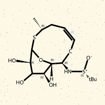 C[C@@H]1C/C=C\C[C@@H](N[S@+]([O-])C(C)(C)C)[C@H]2OC(S1)[C@H](O)C(O)[C@@H]2O